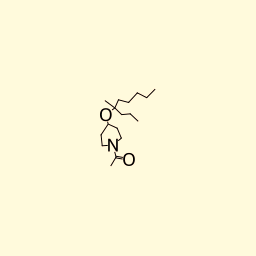 CCCCCC(C)(CCC)OC1CCN(C(C)=O)CC1